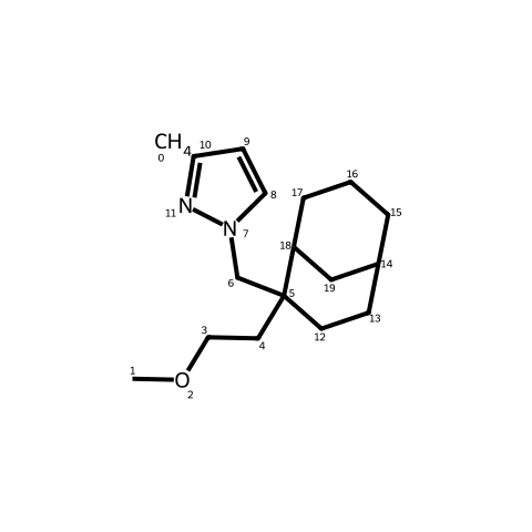 C.COCCC1(Cn2cccn2)CCC2CCCC1C2